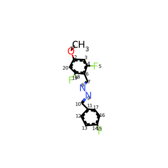 COc1cc(F)c(C=NN=Cc2ccc(F)cc2)c(F)c1